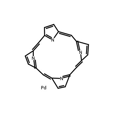 C1=CC2=NC1=CC1=NC(=CC3=NC(=CC4=NC(=C2)C=C4)C=C3)C=C1.[Pd]